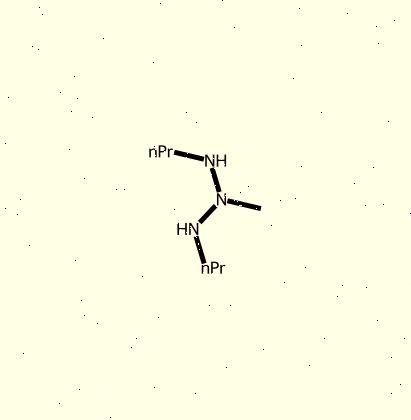 CCCNN(C)NCCC